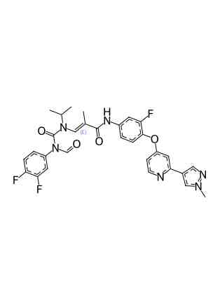 C/C(=C\N(C(=O)N(C=O)c1ccc(F)c(F)c1)C(C)C)C(=O)Nc1ccc(Oc2ccnc(-c3cnn(C)c3)c2)c(F)c1